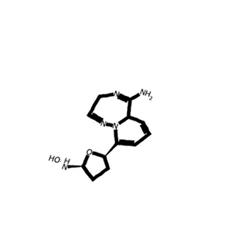 NC1=NCC=NN2C([C@H]3CC[C@@H](NO)O3)=CC=CC12